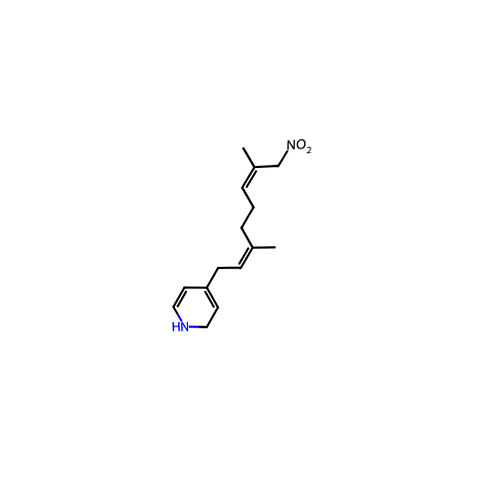 CC(=CCC1=CCNC=C1)CCC=C(C)C[N+](=O)[O-]